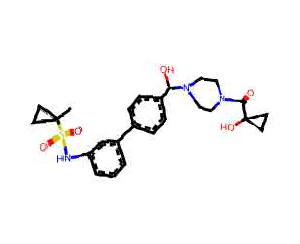 CC1(S(=O)(=O)Nc2cccc(-c3ccc(C(O)N4CCN(C(=O)C5(O)CC5)CC4)cc3)c2)CC1